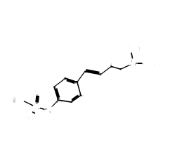 CCCN(CCC)CCC=Cc1ccc(NS(=O)(=O)C(C)C)cc1